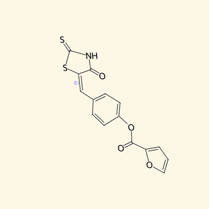 O=C1NC(=S)S/C1=C/c1ccc(OC(=O)c2ccco2)cc1